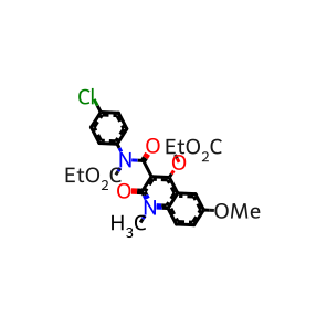 CCOC(=O)Oc1c(C(=O)N(C(=O)OCC)c2ccc(Cl)cc2)c(=O)n(C)c2ccc(OC)cc12